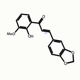 COc1cccc(C(=O)/C=C/c2ccc3c(c2)OCO3)c1O